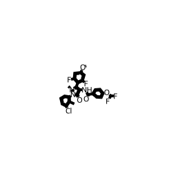 COc1cc(F)c(-c2c(NC(=O)c3ccc(OC(F)F)cc3)c(=O)n(-c3cccc(Cl)c3C)n2C)c(F)c1